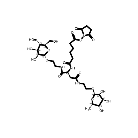 C[C@@H]1O[C@@H](OCCNC(=O)C[C@H](NC(=O)CCCCC(=O)ON2C(=O)CCC2=O)C(=O)NCCO[C@H]2O[C@H](CO)[C@@H](CO)[C@H](O)[C@@H]2O)[C@@H](O)[C@H](O)[C@@H]1O